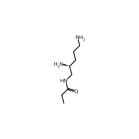 CCC(=O)NC[C@@H](N)CCCN